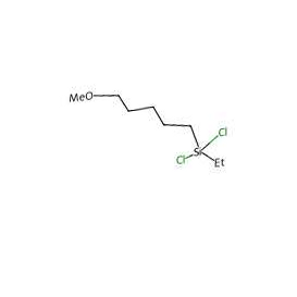 CC[Si](Cl)(Cl)CCCCCOC